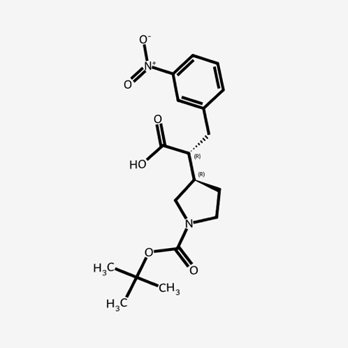 CC(C)(C)OC(=O)N1CC[C@H]([C@@H](Cc2cccc([N+](=O)[O-])c2)C(=O)O)C1